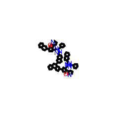 c1ccc(-c2nc(-c3ccc4ccccc4c3)nc(-c3cc(-c4ccc5c(c4)c(-c4ccc6ccc(-c7nc(-c8ccccc8)nc(-c8ccc(-c9ccc%10ccccc%10c9)c9oc%10ncccc%10c89)n7)cc6c4)cc4ccccc45)cc4oc5ncccc5c34)n2)cc1